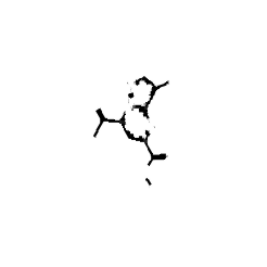 COC(=O)c1cc(C(C)=O)n2ncc(F)c2n1